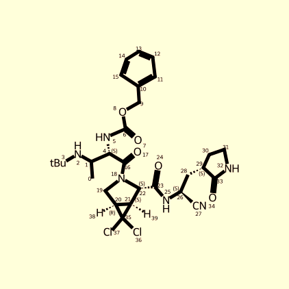 CC(NC(C)(C)C)[C@H](NC(=O)OCc1ccccc1)C(=O)N1C[C@H]2[C@@H]([C@H]1C(=O)N[C@H](C#N)C[C@@H]1CCNC1=O)C2(Cl)Cl